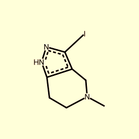 CN1CCc2[nH]nc(I)c2C1